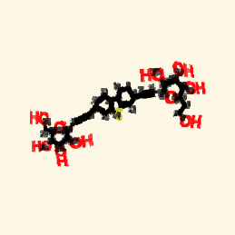 OCC[C@H]1O[C@H](C#Cc2ccc3c(c2)sc2cc(C#C[C@H]4O[C@H](CO)[C@@H](O)[C@H](O)[C@@H]4O)ccc23)[C@@H](O)[C@@H](O)[C@@H]1O